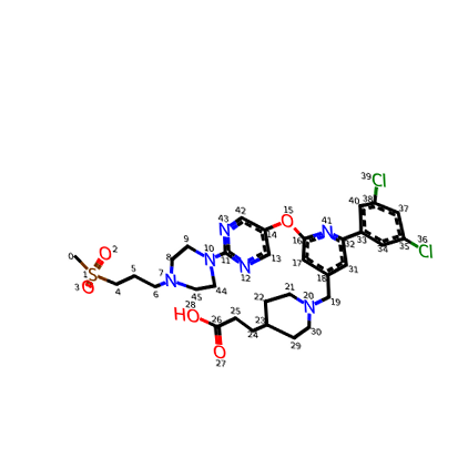 CS(=O)(=O)CCCN1CCN(c2ncc(Oc3cc(CN4CCC(CCC(=O)O)CC4)cc(-c4cc(Cl)cc(Cl)c4)n3)cn2)CC1